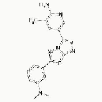 CN(C)c1cccc(-c2nn3c(-c4cnc(N)c(C(F)(F)F)c4)cnc3o2)c1